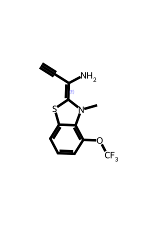 C#C/C(N)=C1\Sc2cccc(OC(F)(F)F)c2N1C